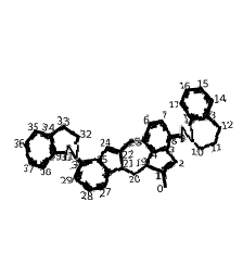 CC1=Cc2c(cccc2N2CCCc3ccccc32)C1CC1C(C)=Cc2c1cccc2N1CCc2ccccc21